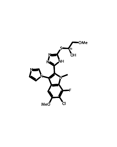 COC[C@@H](O)Sc1nnc(-c2c(-n3ccnc3)c3cc(OC)c(Cl)c(F)c3n2C)[nH]1